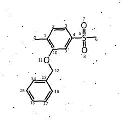 Cc1ccc(S(C)(=O)=O)[c]c1OCc1ccccc1